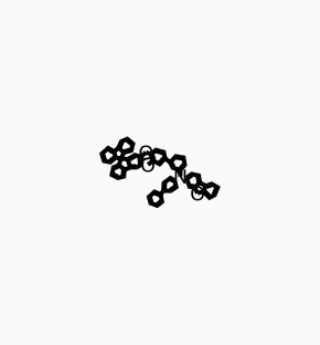 c1ccc(-c2ccc(N(c3cccc(-c4ccc5c(c4)Oc4cc6c(cc4O5)C4(c5ccccc5-c5ccccc54)c4ccccc4-6)c3)c3ccc4c(c3)oc3ccccc34)cc2)cc1